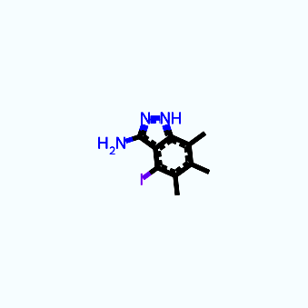 Cc1c(C)c(I)c2c(N)n[nH]c2c1C